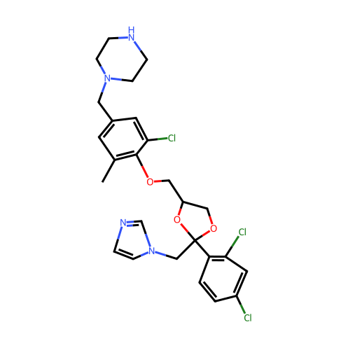 Cc1cc(CN2CCNCC2)cc(Cl)c1OCC1COC(Cn2ccnc2)(c2ccc(Cl)cc2Cl)O1